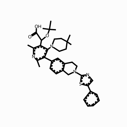 Cc1nc(C)c(C(OC(C)(C)C)C(=O)O)c(N2CCC(C)(C)CC2)c1-c1ccc2c(c1)CCN(c1ncc(-c3ccccc3)s1)C2